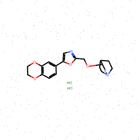 Cl.Cl.c1cc2c(cc1-c1cnc(COC3CN4CCC3CC4)o1)OCCO2